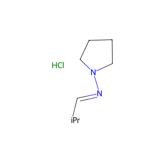 CC(C)C=NN1CCCC1.Cl